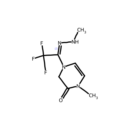 CN/N=C(\N1C=CN(C)C(=O)C1)C(F)(F)F